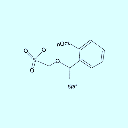 CCCCCCCCc1ccccc1C(C)OCS(=O)(=O)[O-].[Na+]